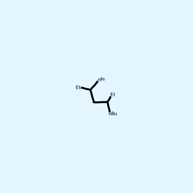 CCCCC([CH]C(CC)CCC)CC